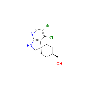 OC[C@H]1CC[C@@]2(CC1)CNc1ncc(Br)c(Cl)c12